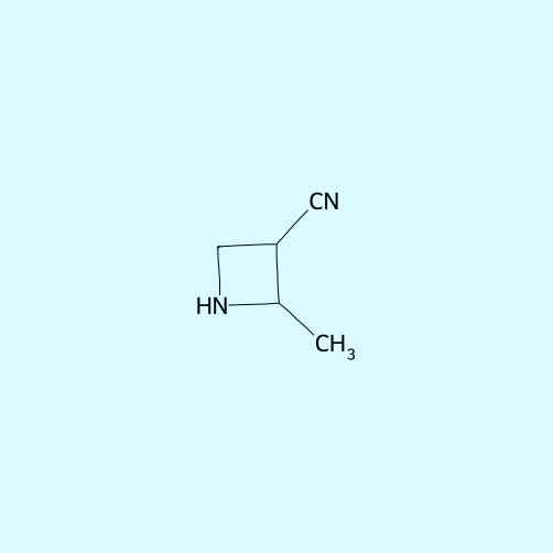 CC1NCC1C#N